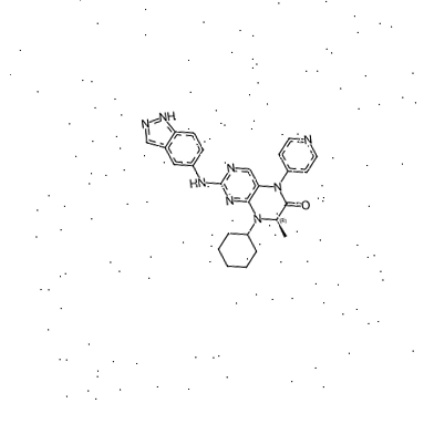 C[C@@H]1C(=O)N(c2ccncc2)c2cnc(Nc3ccc4[nH]ncc4c3)nc2N1C1CCCCC1